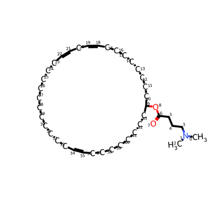 CN(C)CCCC(=O)OC1CCCCCCCC/C=C\C/C=C\CCCCCCCCCCC/C=C\CCCCCCCC1